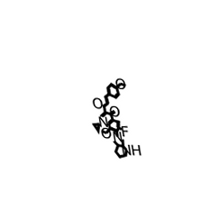 COc1ccc(C=CC(=O)c2cn(C3CC3)c3c(OC)c(N4CC5CCCNC5C4)c(F)cc3c2=O)cc1